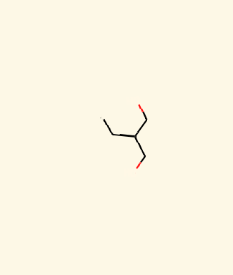 OCC(CO)C[SiH3]